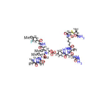 CC[C@H](C)[C@@H]([C@@H](CC(=O)N1C[C@@H](OC(=O)OCc2ccc(NC(=O)[C@H](CCCNC(N)=O)NC(=O)[C@@H](NC(=O)CCCCCN3C(=O)CC(SCC4(CC(N)=O)CC4)C3=O)C(C)C)cc2)C[C@H]1[C@H](OC)[C@@H](C)C(=O)NCC(=O)c1ccc(OC)c(F)c1)OC)N(C)C(=O)[C@@H](NC(=O)[C@H](C(C)C)N(C)C)C(C)C